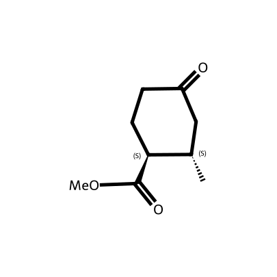 COC(=O)[C@H]1CCC(=O)C[C@@H]1C